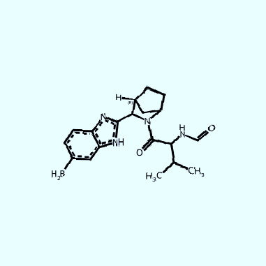 Bc1ccc2nc(C3[C@@H]4CCC(C4)N3C(=O)C(NC=O)C(C)C)[nH]c2c1